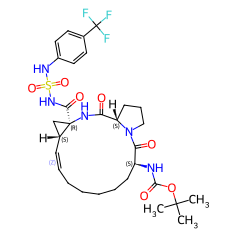 CC(C)(C)OC(=O)N[C@H]1CCCCC/C=C\[C@@H]2C[C@@]2(C(=O)NS(=O)(=O)Nc2ccc(C(F)(F)F)cc2)NC(=O)[C@@H]2CCCN2C1=O